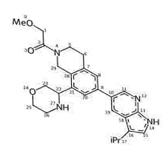 COCC(=O)N1CCc2cc(-c3cnc4[nH]cc(C(C)C)c4c3)cc(C3COCCN3)c2C1